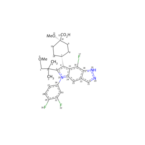 COCC(C)(C)c1c([C@H]2CC[C@](OC)(C(=O)O)CC2)c2c(F)c3[nH]ncc3cc2n1-c1ccc(F)c(F)c1